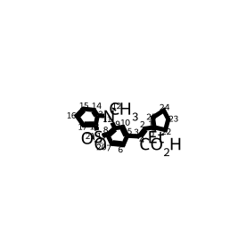 CCC1(C=C(C(=O)O)c2ccc3c(c2)N(C)c2ccccc2S3(=O)=O)CCCC1